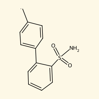 [CH2]c1ccc(-c2ccccc2S(N)(=O)=O)cc1